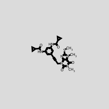 CSc1nc2c(c(=O)n(C)c(=O)n2CC#Cc2cc(NC(=O)C3CC3)cc(NC(=O)C3CC3)c2)n1C